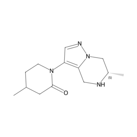 CC1CCN(c2cnn3c2CN[C@@H](C)C3)C(=O)C1